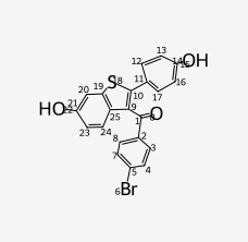 O=C(c1ccc(Br)cc1)c1c(-c2ccc(O)cc2)sc2cc(O)ccc12